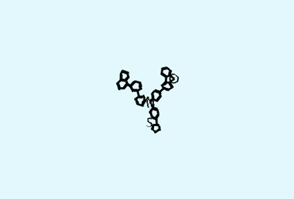 c1cc(-c2cccc(N(c3ccc(-c4ccc5oc6ccccc6c5c4)cc3)c3ccc4c(c3)sc3ccccc34)c2)cc(-c2cccc3ccccc23)c1